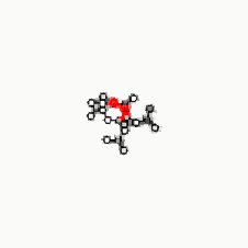 c1ccc(-c2cc(-c3cccc(-c4cc5c6c(c4)N(c4ccccc4)c4ccccc4B6c4ccccc4N5c4ccccc4)c3)nc(-c3cc(-c4nc(-c5ccccc5)nc(-c5ccccc5)n4)ccc3-n3c4ccc(-c5nc(-c6ccccc6)nc(-c6ccccc6)n5)cc4c4cc(-c5nc(-c6ccccc6)nc(-c6ccccc6)n5)ccc43)n2)cc1